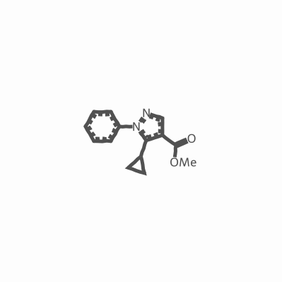 COC(=O)c1cnn(-c2ccccc2)c1C1CC1